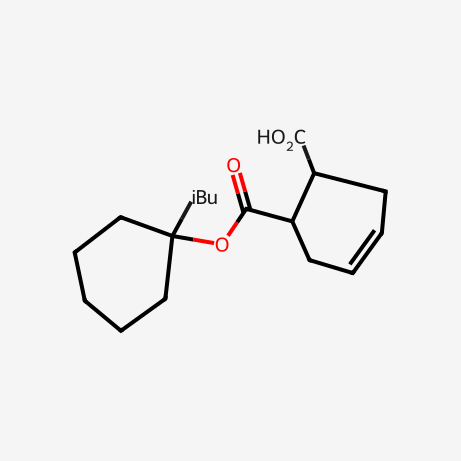 CCC(C)C1(OC(=O)C2CC=CCC2C(=O)O)CCCCC1